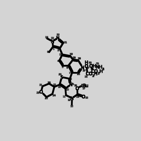 Cc1c(-c2ccc3c(-c4nc(CN(C)C(=O)OC(C)(C)C)c(C5CCOCC5)s4)cncc3c2)cnn1C.N.O=C(O)O.O=C(O)O